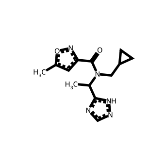 Cc1cc(C(=O)N(CC2CC2)C(C)c2ncn[nH]2)no1